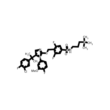 COc1cc(-n2c(C(C)(C)c3ccc(F)c(Cl)c3)cnc2SCc2c(F)cc(S(=O)(=O)NCCC[N+](C)(C)C)cc2F)ccc1F